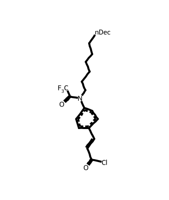 CCCCCCCCCCCCCCCCN(C(=O)C(F)(F)F)c1ccc(/C=C/C(=O)Cl)cc1